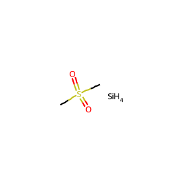 CS(C)(=O)=O.[SiH4]